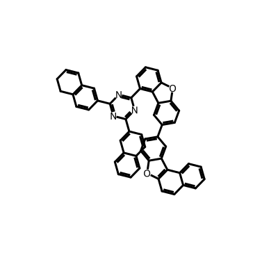 C1=Cc2cc(-c3nc(-c4ccc5ccccc5c4)nc(-c4cccc5oc6ccc(-c7ccc8oc9ccc%10ccccc%10c9c8c7)cc6c45)n3)ccc2CC1